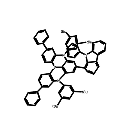 CC(C)(C)c1cc(N2c3cc(-c4ccccc4)ccc3B3c4ccc(-c5ccccc5)cc4N(c4cc(C(C)(C)C)cc(C(C)(C)C)c4)c4cc(-c5cccc6c7ccccc7n(-c7ccccc7)c56)cc2c43)cc(C(C)(C)C)c1